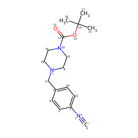 [C-]#[N+]c1ccc(CN2CCN(C(=O)OC(C)(C)C)CC2)cc1